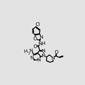 C=CC(=O)N1CCC[C@@H](n2nc(C(=O)Nc3nc4cc(Cl)ccc4o3)c3c(N)ncnc32)C1